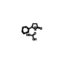 O=C1CCN(c2ccccc2)N1.O=S(O)O